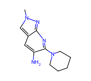 Cn1cc2cc(N)c(N3CCCCC3)nc2n1